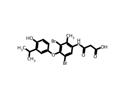 Cc1c(NC(=O)CC(=O)O)cc(Br)c(Oc2ccc(O)c(C(C)C)c2)c1Br